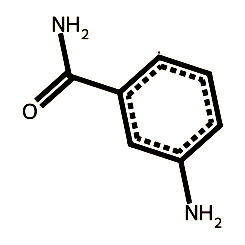 NC(=O)c1[c]ccc(N)c1